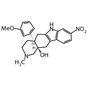 COc1cccc([C@@]23CCN(C)C[C@@]2(O)Cc2c([nH]c4cc([N+](=O)[O-])ccc24)C3)c1